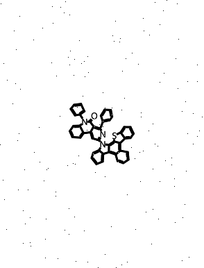 O=c1c2c(-c3ccccc3)nc(-n3c4ccccc4c4c5ccccc5c5c6ccccc6sc5c43)cc2c2ccccc2n1-c1ccccc1